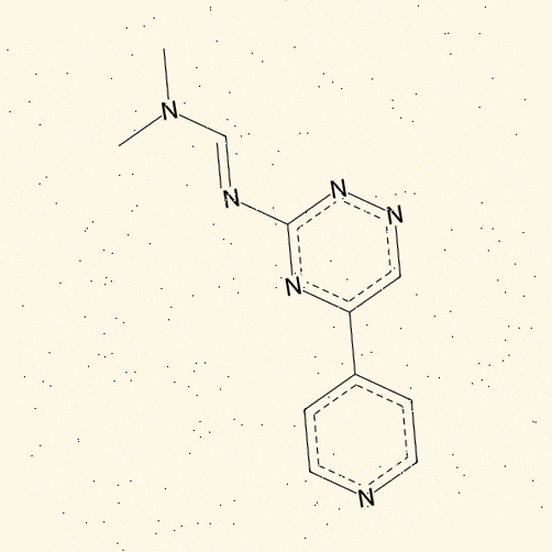 CN(C)/C=N/c1nncc(-c2ccncc2)n1